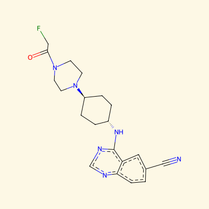 N#Cc1ccc2ncnc(N[C@H]3CC[C@H](N4CCN(C(=O)CF)CC4)CC3)c2c1